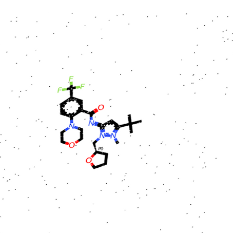 Cn1c(C(C)(C)C)cc(=NC(=O)c2cc(C(F)(F)F)ccc2N2CCOCC2)n1C[C@H]1CCCO1